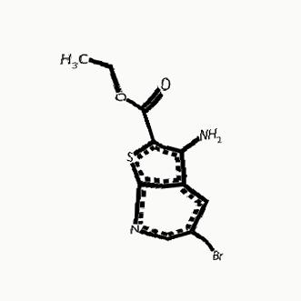 CCOC(=O)c1sc2ncc(Br)cc2c1N